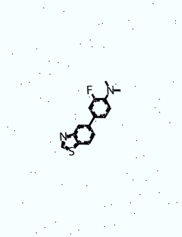 CN(C)c1ccc(-c2ccc3scnc3c2)cc1F